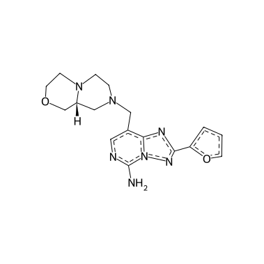 Nc1ncc(CN2CCN3CCOC[C@H]3C2)c2nc(-c3ccco3)nn12